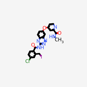 CNC(=O)c1cc(Oc2ccc3nc(NC(=O)c4ccc(Cl)cc4CI)nnc3c2)ccn1